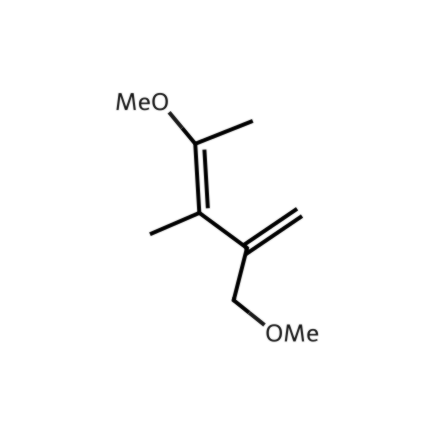 C=C(COC)/C(C)=C(\C)OC